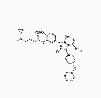 COc1ccc(-n2c(=O)n(-c3ccc(Oc4ccccc4)cc3)c3c(N)ncnc32)cc1N(C)C(=O)C=CCN(C)C1CC1